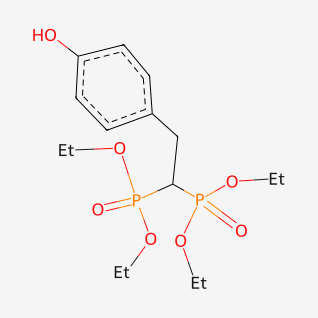 CCOP(=O)(OCC)C(Cc1ccc(O)cc1)P(=O)(OCC)OCC